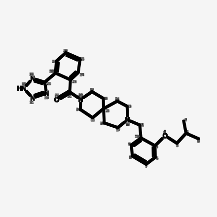 CC(C)COc1ccccc1CN1CCC2(CC1)CCN(C(=O)c1ccccc1-c1nn[nH]n1)CC2